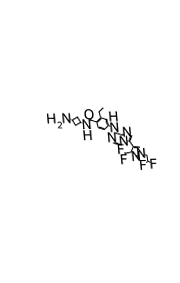 CCc1cc(Nc2nccn3c(-c4cn(CC(F)F)nc4C(F)F)cnc23)ccc1C(=O)N[C@H]1C[C@@H](N)C1